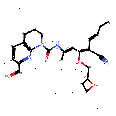 CC/C=C/C(C#N)=C(\C=C(/C)NC(=O)N1CCCc2ccc(C=O)nc21)OCC1CCO1